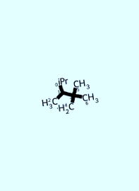 [CH2]C(C)C(C)C([CH2])(C)C